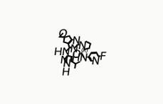 CC(C)c1cc(Nc2nc(N3CCC[C@@H]3C(=O)Nc3ccc(F)nc3)nc3c2CC2(CO2)C3)n[nH]1